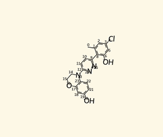 Cc1cc(Cl)cc(O)c1-c1ccc(N2CCOc3cc(O)ccc32)nn1